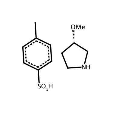 CO[C@H]1CCNC1.Cc1ccc(S(=O)(=O)O)cc1